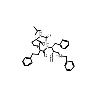 CC(=O)N[C@]1(CC(C)C)CCN(C(CCc2ccccc2)C(=O)N[C@@H](Cc2ccccc2)[C@H](O)CNCc2ccccc2)C1=O